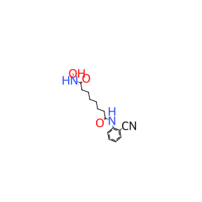 N#Cc1ccccc1NC(=O)CCCCCCC(=O)NO